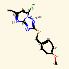 COc1ccc(CSc2nc3nc(C)cc(Cl)n3n2)cc1